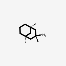 C[C@]1(N)C[C@]2(C)CCC[C@](C)(C1)C2